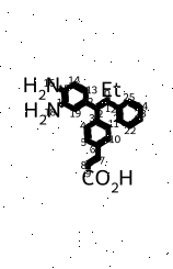 CC/C(=C(/c1ccc(/C=C/C(=O)O)cc1)c1ccc(N)c(N)c1)c1ccccc1